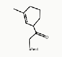 CCCCCCC(=O)C1C=C(C)CCC1